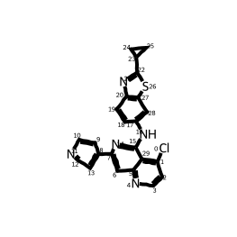 Clc1ccnc2cc(-c3ccncc3)nc(Nc3ccc4nc(C5CC5)sc4c3)c12